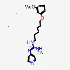 COc1cccc(OCCCCCCN/C(=N/c2ccncc2)NC#N)c1